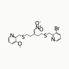 COc1cccnc1CSCCC(=C[N+](=O)[O-])CCSCc1ncccc1Br